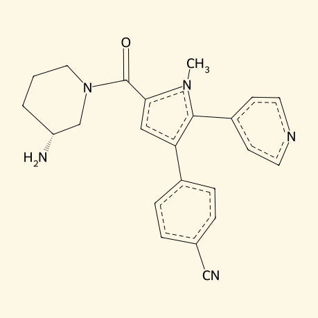 Cn1c(C(=O)N2CCC[C@@H](N)C2)cc(-c2ccc(C#N)cc2)c1-c1ccncc1